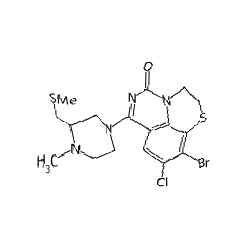 CSCC1CN(c2nc(=O)n3c4c(c(Br)c(Cl)cc24)SCC3)CCN1C